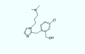 CN(C)CCCn1ccnc1Cc1ccc(Cl)cc1CO